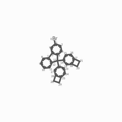 Brc1ccc2c(c1)-c1ccccc1C2(c1ccc2c(c1)CC2)c1ccc2c(c1)CC2